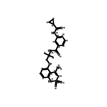 CC(C)(COc1cccc2c1C(N)=NS(=O)(=O)N2)NC(=O)c1ccnc(NC(=O)C2CC2)c1